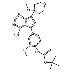 COc1cc(-c2cc(C3(OC)CCOCC3)n3ncnc(N)c23)ccc1NC(=O)OC(C)(C)C